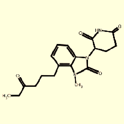 CCC(=O)CCCc1cccc2c1n(C)c(=O)n2C1CCC(=O)NC1=O